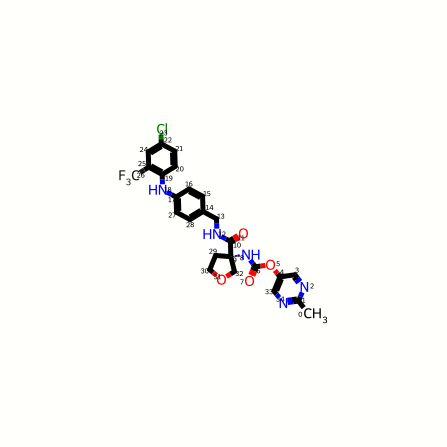 Cc1ncc(OC(=O)N[C@@]2(C(=O)NCc3ccc(Nc4ccc(Cl)cc4C(F)(F)F)cc3)CCOC2)cn1